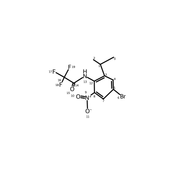 CC(C)c1cc(Br)cc([N+](=O)[O-])c1NC(=O)C(F)(F)F